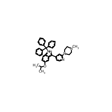 CC(C)Oc1ccc2c(c1)c(-c1ccnc(N3CCN(C)CC3)c1)nn2C(c1ccccc1)(c1ccccc1)c1ccccc1